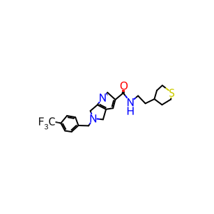 O=C(NCCC1CCSCC1)c1cnc2c(c1)CN(Cc1ccc(C(F)(F)F)cc1)C2